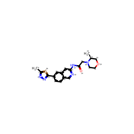 Cc1nnc(-c2ccc3cnc(NC(=O)CN4CCOC[C@@H]4C)cc3c2)s1